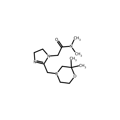 CN(C)C(=O)CN1CCN=C1CB1CCOC(C)(C)C1